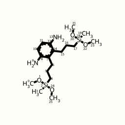 CO[Si](C)(CCCc1c(N)ccc(N)c1CCC[Si](C)(OC)OC)OC